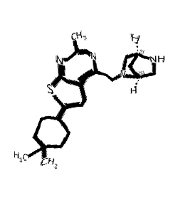 Cc1nc(CN2C[C@@H]3C[C@H]2CN3)c2cc(C3CCC(C)(C)CC3)sc2n1